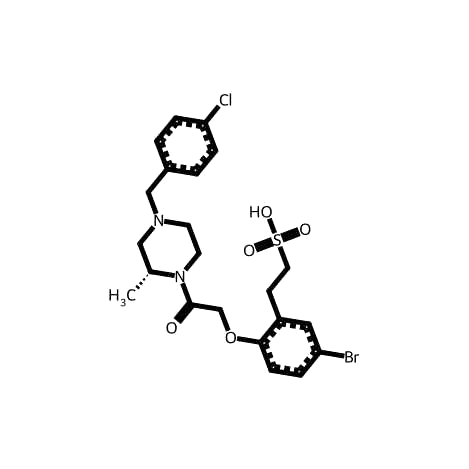 C[C@@H]1CN(Cc2ccc(Cl)cc2)CCN1C(=O)COc1ccc(Br)cc1CCS(=O)(=O)O